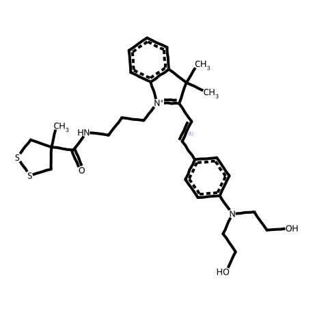 CC1(C(=O)NCCC[N+]2=C(/C=C/c3ccc(N(CCO)CCO)cc3)C(C)(C)c3ccccc32)CSSC1